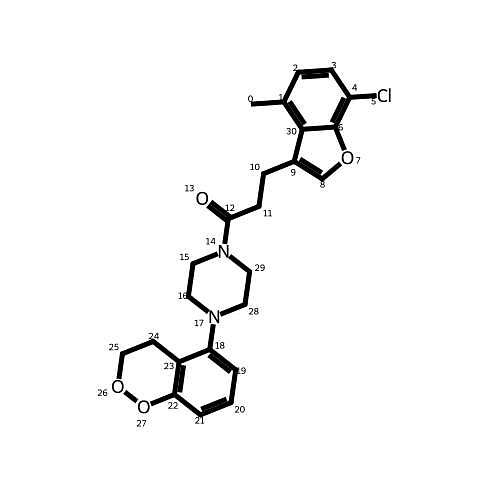 Cc1ccc(Cl)c2occ(CCC(=O)N3CCN(c4cccc5c4CCOO5)CC3)c12